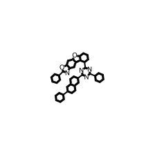 c1ccc(-c2ccc3cc(-c4nc(-c5ccccc5)nc(-c5cccc6oc7cc8oc(-c9ccccc9)nc8cc7c56)n4)ccc3c2)cc1